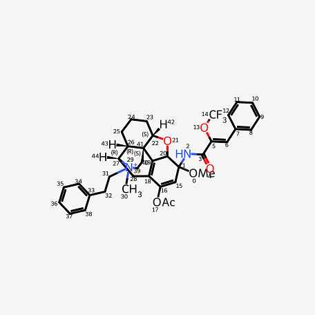 COC1(NC(=O)C(=Cc2ccccc2)OC(F)(F)F)C=C(OC(C)=O)C2=C3C1O[C@H]1CCC[C@H]4[C@@H](C2)[N+](C)(CCc2ccccc2)CC[C@]314